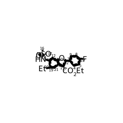 CCOC(=O)c1c(-c2ccc(F)cc2)oc2cc(NS(C)(=O)=O)c(CC)cc12